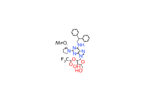 COC[C@H]1CCCN1c1nc(NCC(c2ccccc2)c2ccccc2)c2ncn(C3OC(CO)C(O)C3OC(=O)C(F)(F)F)c2n1